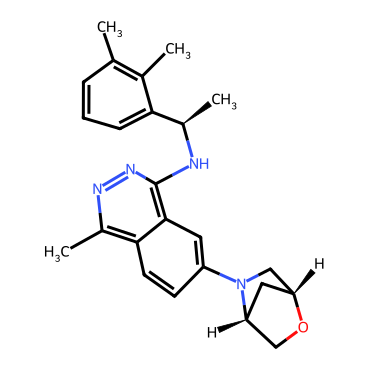 Cc1cccc([C@@H](C)Nc2nnc(C)c3ccc(N4C[C@H]5C[C@@H]4CO5)cc23)c1C